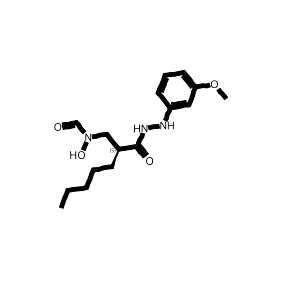 CCCCC[C@@H](CN(O)C=O)C(=O)NNc1cccc(OC)c1